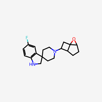 Fc1ccc2c(c1)C1(CCN(C3CC45OC4CCC35)CC1)CN2